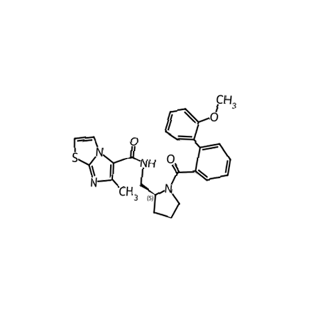 COc1ccccc1-c1ccccc1C(=O)N1CCC[C@H]1CNC(=O)c1c(C)nc2sccn12